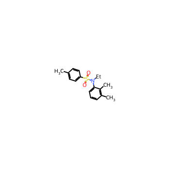 CCN(c1cccc(C)c1C)S(=O)(=O)c1ccc(C)cc1